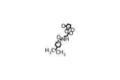 CC(C)C1CCN(C(=O)NCCC(=O)ON2C(=O)CCC2=O)CC1